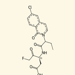 CCC(C(=O)N[C@@H](CC(=O)O)C(=O)CF)n1ccc2cc(Cl)ccc2c1=O